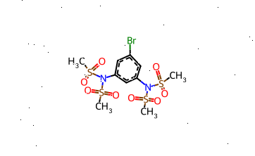 CS(=O)(=O)N(c1cc(Br)cc(N(S(C)(=O)=O)S(C)(=O)=O)c1)S(C)(=O)=O